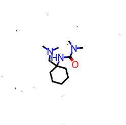 CN(C)CC1(NC(=O)N(C)C)CCCCC1